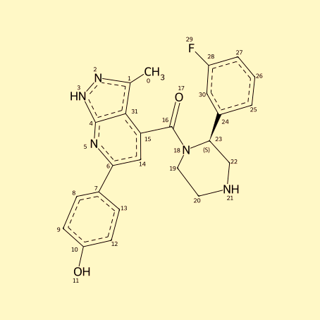 Cc1n[nH]c2nc(-c3ccc(O)cc3)cc(C(=O)N3CCNC[C@@H]3c3cccc(F)c3)c12